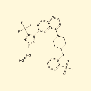 CS(=O)(=O)c1ccccc1OC1CCN(c2ccnc3ccc(-c4c[nH]nc4C(F)(F)F)cc23)CC1.Cl.Cl.Cl